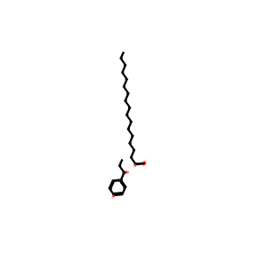 CCCCCCCCCCCCCCCCC(OC(CC)c1ccc(O)cc1)C(=O)O